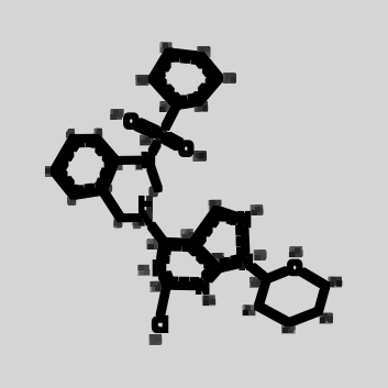 CN(c1ccccc1CNc1nc(Cl)nc2c1cnn2C1CCCCO1)S(=O)(=O)c1ccccc1